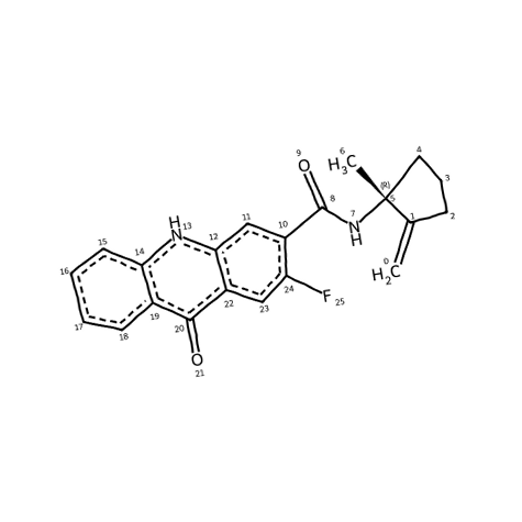 C=C1CCC[C@@]1(C)NC(=O)c1cc2[nH]c3ccccc3c(=O)c2cc1F